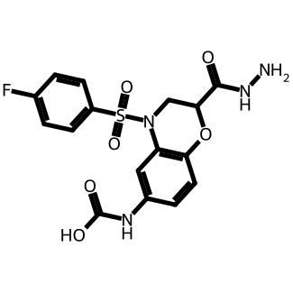 NNC(=O)C1CN(S(=O)(=O)c2ccc(F)cc2)c2cc(NC(=O)O)ccc2O1